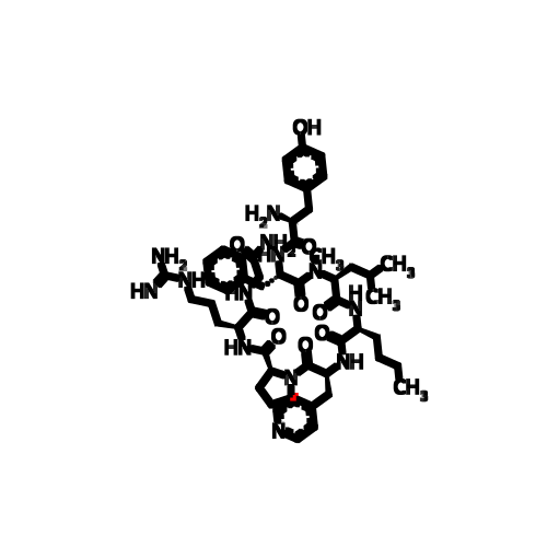 CCCC[C@H](NC(=O)[C@H](CC(C)C)N(C)C(=O)[C@H](Cc1ccccc1)NC(=O)[C@@H](N)Cc1ccc(O)cc1)C(=O)N[C@@H](Cc1ccncc1)C(=O)N1CCC[C@H]1C(=O)N[C@@H](CCCNC(=N)N)C(=O)NCC(N)=O